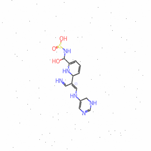 N=C/C(=C\NC1=CN=CNC1)C1C=CC=C(C(O)NS(=O)O)N1